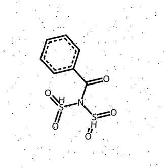 O=C(c1ccccc1)N([SH](=O)=O)[SH](=O)=O